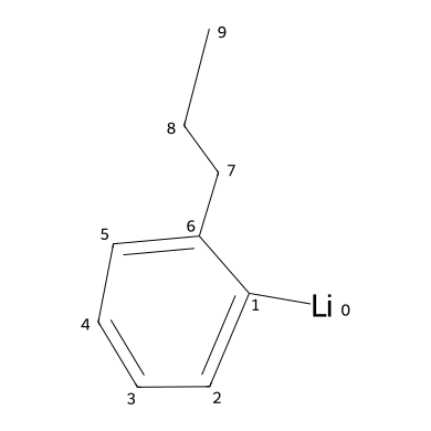 [Li][c]1ccccc1CCC